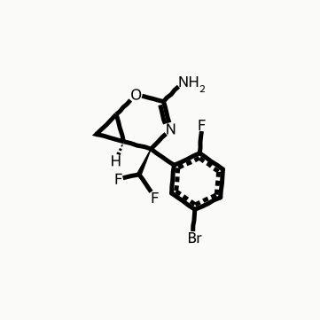 NC1=N[C@@](c2cc(Br)ccc2F)(C(F)F)[C@H]2CC2O1